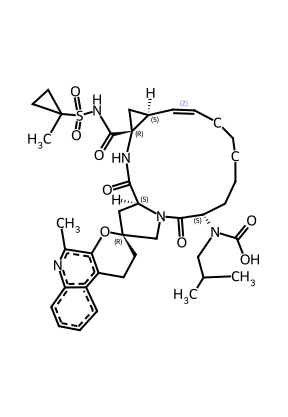 Cc1nc2ccccc2c2c1O[C@]1(CC2)C[C@H]2C(=O)N[C@]3(C(=O)NS(=O)(=O)C4(C)CC4)C[C@H]3/C=C\CCCCC[C@H](N(CC(C)C)C(=O)O)C(=O)N2C1